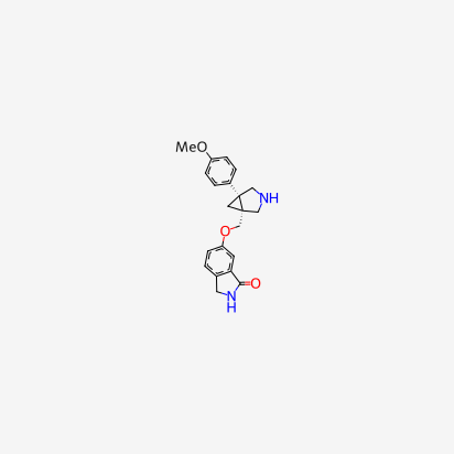 COc1ccc([C@]23CNC[C@@]2(COc2ccc4c(c2)C(=O)NC4)C3)cc1